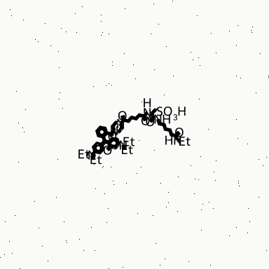 CCNC(=O)CCCCCNC(=O)C(CS(=O)(=O)O)NC(=O)CCCCC(=O)N1CCN(C(=O)c2ccccc2-c2c3ccc(N(CC)CC)cc3[o+]c3cc(N(CC)CC)ccc23)CC1